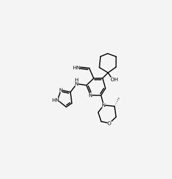 C[C@@H]1COCCN1c1cc(C2(O)CCCCC2)c(C=N)c(Nc2cc[nH]n2)n1